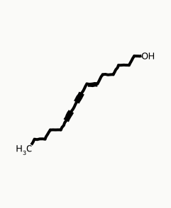 CCCCCC#CC#C/C=C/CCCCCO